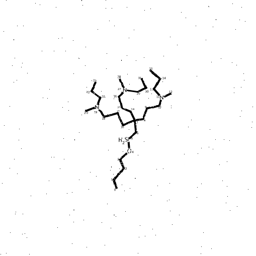 CCCCO[SiH2]CC(CCCN(C)CCC)(CCCN(C)CCC)CCCN(C)CCC